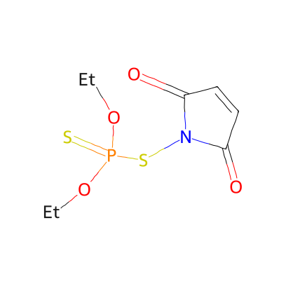 CCOP(=S)(OCC)SN1C(=O)C=CC1=O